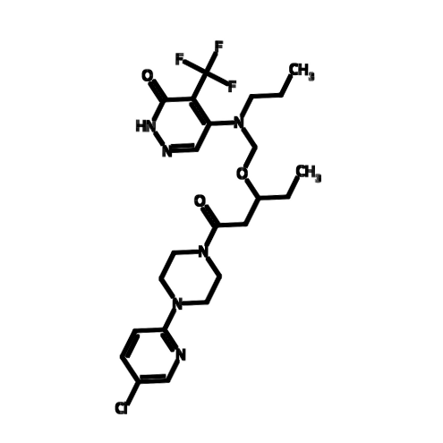 CCCN(COC(CC)CC(=O)N1CCN(c2ccc(Cl)cn2)CC1)c1cn[nH]c(=O)c1C(F)(F)F